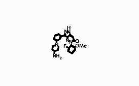 COc1cccc(F)c1-n1nc2c(-c3cccc(N4CCC(N)CC4)c3)n[nH]c2cc1=O